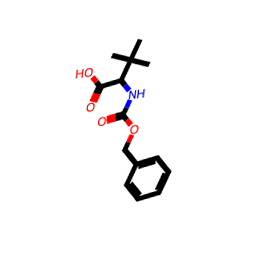 CC(C)(C)C(NC(=O)OCc1ccccc1)C(=O)O